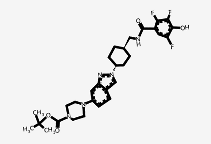 CC(C)(C)OC(=O)N1CCN(c2ccc3cn([C@H]4CC[C@H](CNC(=O)c5cc(F)c(O)c(F)c5F)CC4)nc3c2)CC1